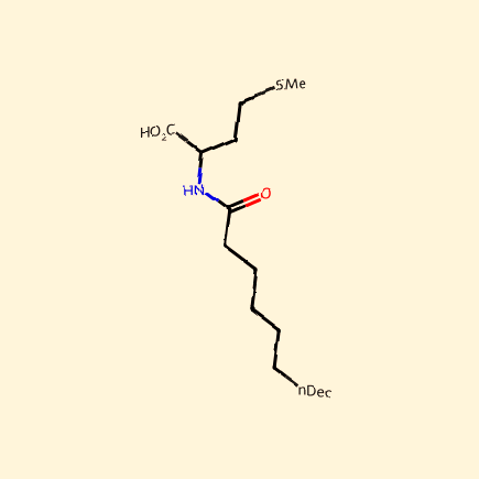 CCCCCCCCCCCCCCCC(=O)NC(CCSC)C(=O)O